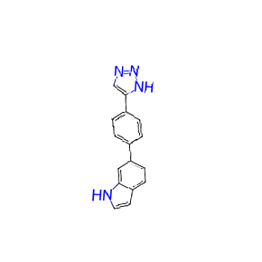 c1cc2ccc(-c3ccc(-c4cnn[nH]4)cc3)cc2[nH]1